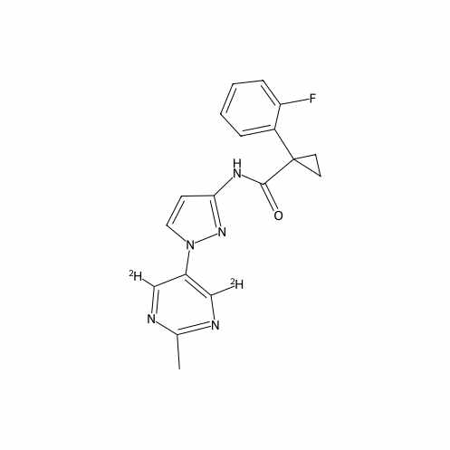 [2H]c1nc(C)nc([2H])c1-n1ccc(NC(=O)C2(c3ccccc3F)CC2)n1